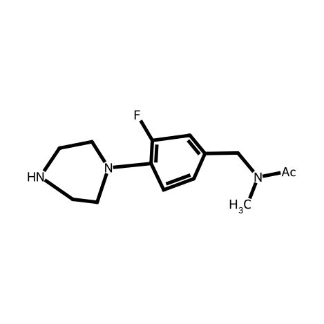 CC(=O)N(C)Cc1ccc(N2CCNCC2)c(F)c1